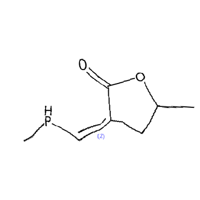 CP/C=C1/CC(C)OC1=O